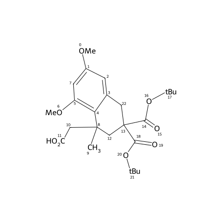 COc1cc2c(c(OC)c1)C(C)(CC(=O)O)CC(C(=O)OC(C)(C)C)(C(=O)OC(C)(C)C)C2